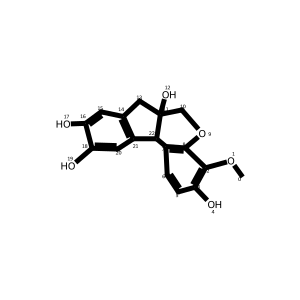 COc1c(O)ccc2c1OCC1(O)Cc3cc(O)c(O)cc3C21